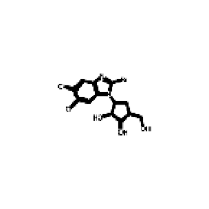 OCC1CC(n2c(Br)nc3cc(Cl)c(Cl)cc32)C(O)C1O